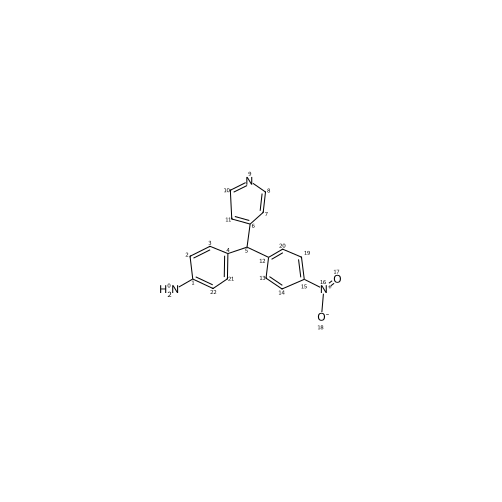 Nc1ccc(C(c2ccncc2)c2ccc([N+](=O)[O-])cc2)cc1